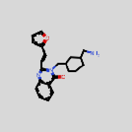 NCC1CCCC(Cn2c(/C=C/c3ccco3)nc3ccccc3c2=O)C1